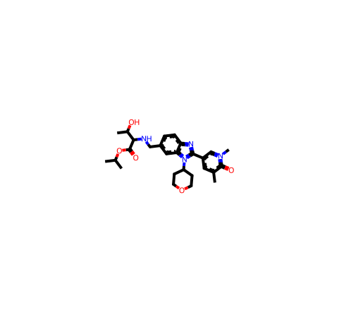 Cc1cc(-c2nc3ccc(CNC(C(=O)OC(C)C)C(C)O)cc3n2C2CCOCC2)cn(C)c1=O